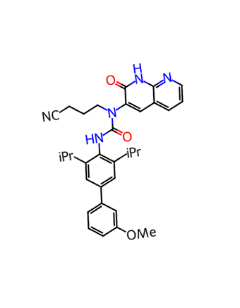 COc1cccc(-c2cc(C(C)C)c(NC(=O)N(CCCC#N)c3cc4cccnc4[nH]c3=O)c(C(C)C)c2)c1